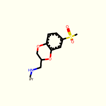 CC(C)NCC1COc2ccc(S(C)(=O)=O)cc2O1